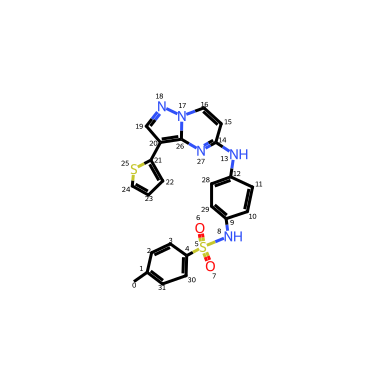 Cc1ccc(S(=O)(=O)Nc2ccc(Nc3ccn4ncc(-c5cccs5)c4n3)cc2)cc1